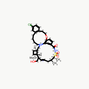 CO[C@@]1(CO)/C=C/C[C@H](C)[C@@H](C)S(=O)(=O)NC(=O)c2ccc3c(c2)N(CCCCc2cc(Cl)ccc2CCO3)C[C@@H]2CC[C@H]21